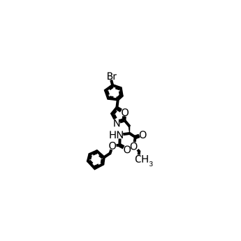 CCOC(=O)[C@H](Cc1ncc(-c2ccc(Br)cc2)o1)NC(=O)OCc1ccccc1